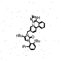 CCCCc1cn(-c2c(C(C)C)cccc2C(C)(C)C)c(=O)n1Cc1ccc(-c2ccccc2-c2nnn[nH]2)nc1